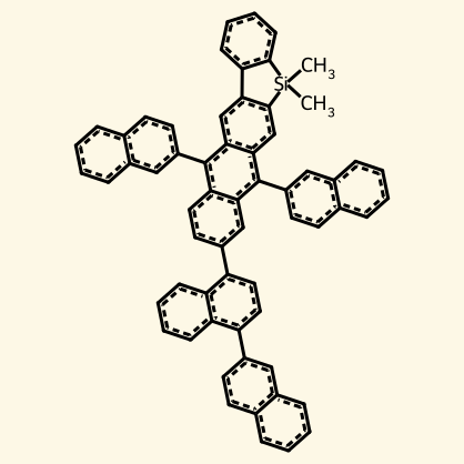 C[Si]1(C)c2ccccc2-c2cc3c(-c4ccc5ccccc5c4)c4ccc(-c5ccc(-c6ccc7ccccc7c6)c6ccccc56)cc4c(-c4ccc5ccccc5c4)c3cc21